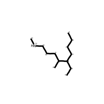 CCCCC(CC)C(C)CCCNC